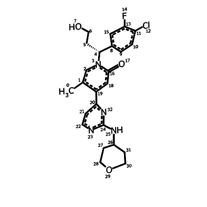 Cc1cn([C@H](CCO)c2ccc(Cl)c(F)c2)c(=O)cc1-c1ccnc(NC2CCOCC2)n1